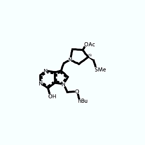 CCCCOCn1cc(CN2CC(OC(C)=O)[C@@H](CSC)C2)c2ncnc(O)c21